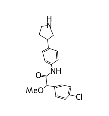 COC(C(=O)Nc1ccc(C2CCNC2)cc1)c1ccc(Cl)cc1